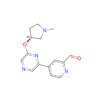 CN1CC[C@H](Oc2cncc(-c3ccnc(C=O)c3)n2)C1